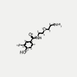 NCCOCCNC(=O)c1ccc(O)c(F)c1